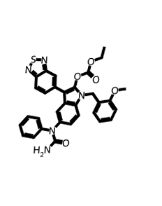 CCOC(=O)Oc1c(-c2ccc3nsnc3c2)c2cc(N(C(N)=O)c3ccccc3)ccc2n1Cc1ccccc1OC